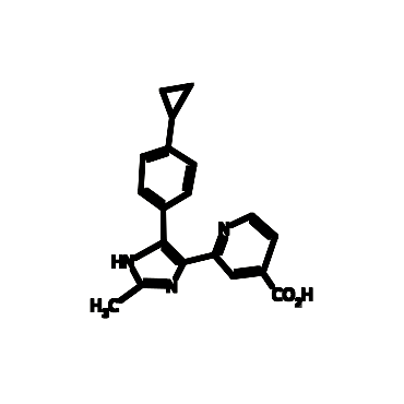 Cc1nc(-c2cc(C(=O)O)ccn2)c(-c2ccc(C3CC3)cc2)[nH]1